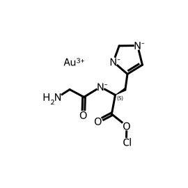 NCC(=O)[N-][C@@H](CC1=C[N-]C[N-]1)C(=O)OCl.[Au+3]